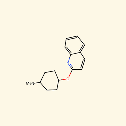 CNC1CCC(Oc2ccc3ccccc3n2)CC1